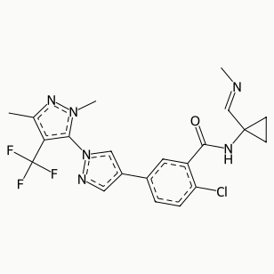 C/N=C/C1(NC(=O)c2cc(-c3cnn(-c4c(C(F)(F)F)c(C)nn4C)c3)ccc2Cl)CC1